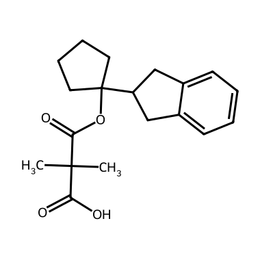 CC(C)(C(=O)O)C(=O)OC1(C2Cc3ccccc3C2)CCCC1